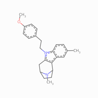 COc1ccc(CCn2c3c(c4cc(C)ccc42)C2CCC(C3)N2C)cc1